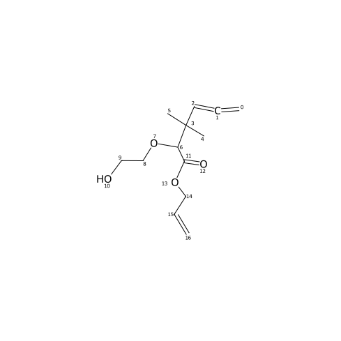 C=C=CC(C)(C)C(OCCO)C(=O)OCC=C